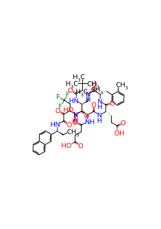 CC[C@H](NC(=O)C(=O)C(CC(F)(F)F)NC(=O)[C@H](CC(C)C)NC(=O)[C@@H](NC(=O)[C@H](Cc1ccccc1C)NC(=O)[C@H](CCC(=O)O)NC(=O)[C@H](CC(=O)O)NC(=O)CCC(=O)O)C(C)(C)C)c1ccc2ccccc2c1